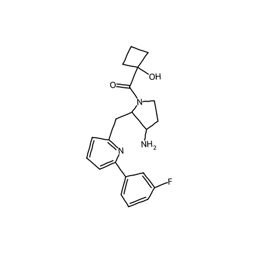 NC1CCN(C(=O)C2(O)CCC2)C1Cc1cccc(-c2cccc(F)c2)n1